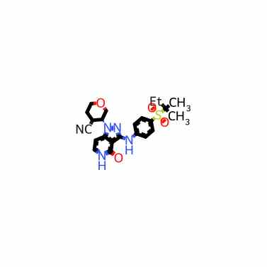 CCC(C)(C)S(=O)(=O)c1ccc(Nc2nn([C@H]3COCCC3C#N)c3cc[nH]c(=O)c23)cc1